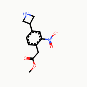 COC(=O)Cc1ccc(C2CNC2)cc1[N+](=O)[O-]